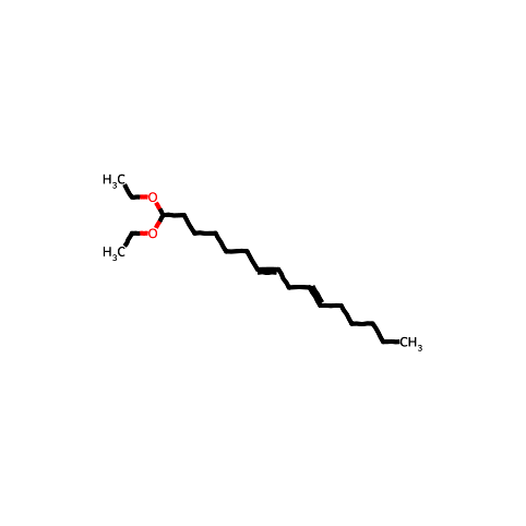 CCCCCC=CCC=CCCCCCC(OCC)OCC